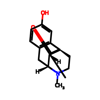 CN1CC[C@]23CCC(=O)C[C@H]2[C@H]1Cc1ccc(O)cc13